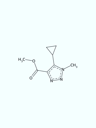 COC(=O)c1nnn(C)c1C1CC1